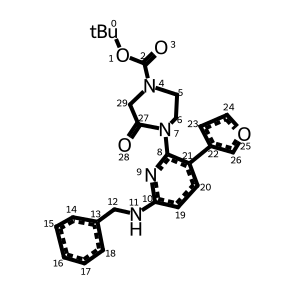 CC(C)(C)OC(=O)N1CCN(c2nc(NCc3ccccc3)ccc2-c2ccoc2)C(=O)C1